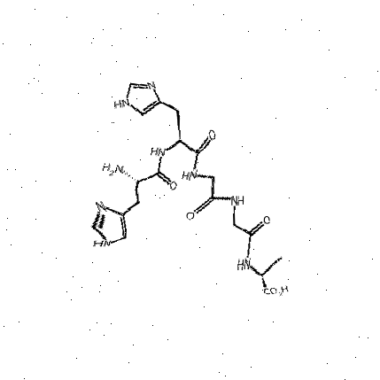 C[C@H](NC(=O)CNC(=O)CNC(=O)[C@H](Cc1c[nH]cn1)NC(=O)[C@@H](N)Cc1c[nH]cn1)C(=O)O